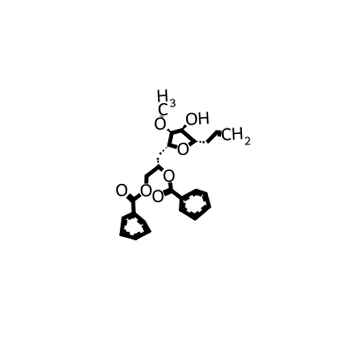 C=CC[C@@H]1O[C@H](C[C@@H](COC(=O)c2ccccc2)OC(=O)c2ccccc2)[C@H](OC)[C@H]1O